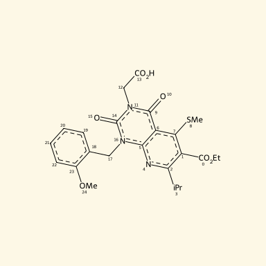 CCOC(=O)c1c(C(C)C)nc2c(c1SC)c(=O)n(CC(=O)O)c(=O)n2Cc1ccccc1OC